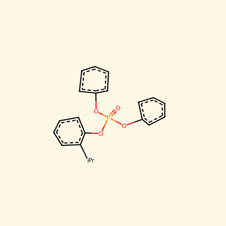 CC(C)c1ccccc1OP(=O)(Oc1ccccc1)Oc1ccccc1